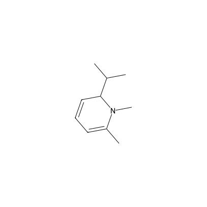 CC1=CC=CC(C(C)C)N1C